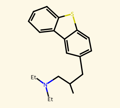 CCN(CC)CC(C)Cc1ccc2sc3ccccc3c2c1